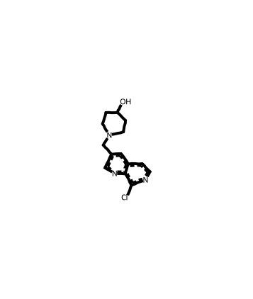 OC1CCN(Cc2cnc3c(Cl)nccc3c2)CC1